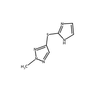 Cn1ncc(Sc2ncc[nH]2)n1